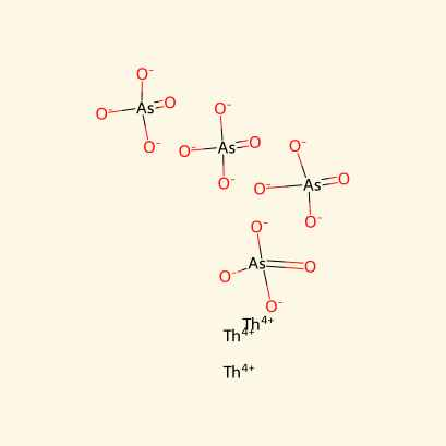 O=[As]([O-])([O-])[O-].O=[As]([O-])([O-])[O-].O=[As]([O-])([O-])[O-].O=[As]([O-])([O-])[O-].[Th+4].[Th+4].[Th+4]